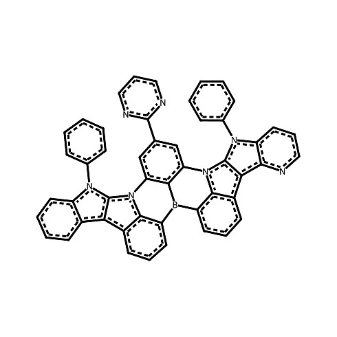 c1ccc(-n2c3ccccc3c3c4cccc5c4n(c32)-c2cc(-c3ncccn3)cc3c2B5c2cccc4c5c6ncccc6n(-c6ccccc6)c5n-3c24)cc1